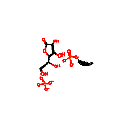 O=C1O[C@H]([C@@H](O)CO)C(O)=C1O.O=P([O-])([O-])[O-].O=P([O-])([O-])[O-].[Mn+2].[Mn+2].[Mn+2]